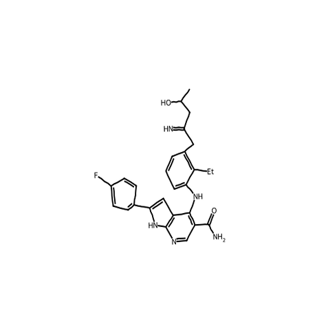 CCc1c(CC(=N)CC(C)O)cccc1Nc1c(C(N)=O)cnc2[nH]c(-c3ccc(F)cc3)cc12